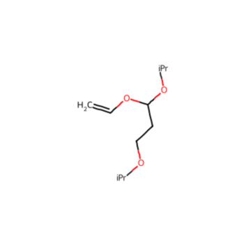 [CH2]C(C)OC(CCOC(C)C)OC=C